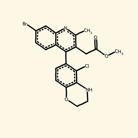 COC(=O)Cc1c(C)nc2cc(Br)ccc2c1-c1ccc2c(c1Cl)NCCO2